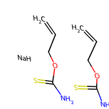 C=CCOC(N)=S.C=CCOC(N)=S.[NaH]